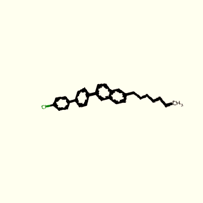 CCCCCCCc1ccc2cc(-c3ccc(-c4ccc(Cl)cc4)cc3)ccc2c1